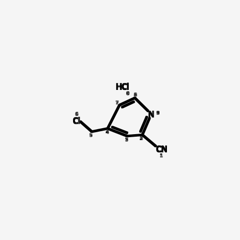 Cl.N#Cc1cc(CCl)ccn1